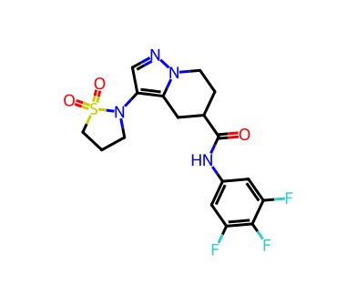 O=C(Nc1cc(F)c(F)c(F)c1)C1CCn2ncc(N3CCCS3(=O)=O)c2C1